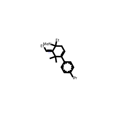 CC/C=C1\C(CC)(NC)CC=C(c2ccc(C(C)C)cc2)C1(C)C